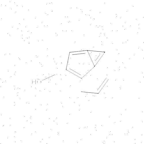 C=CC.CO.c1cc2cc-2c1